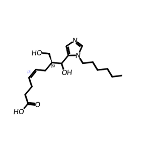 CCCCCCn1cncc1C(O)[C@H](CO)C/C=C\CCC(=O)O